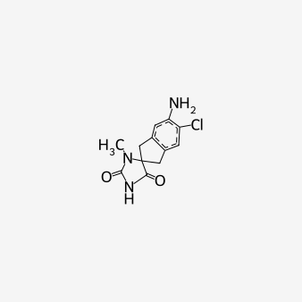 CN1C(=O)NC(=O)C12Cc1cc(N)c(Cl)cc1C2